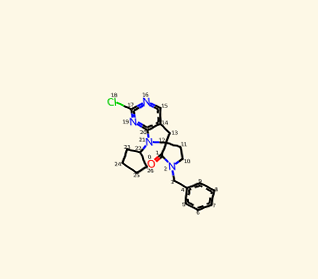 O=C1N(Cc2ccccc2)CCC12Cc1cnc(Cl)nc1N2C1CCCC1